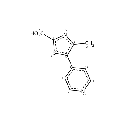 Cc1nc(C(=O)O)sc1-c1ccncc1